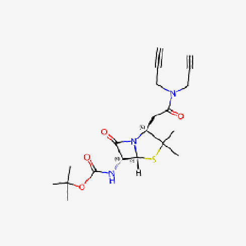 C#CCN(CC#C)C(=O)C[C@@H]1N2C(=O)[C@@H](NC(=O)OC(C)(C)C)[C@H]2SC1(C)C